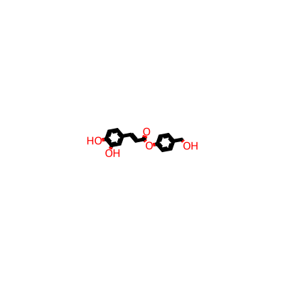 O=C(C=Cc1ccc(O)c(O)c1)Oc1ccc(CO)cc1